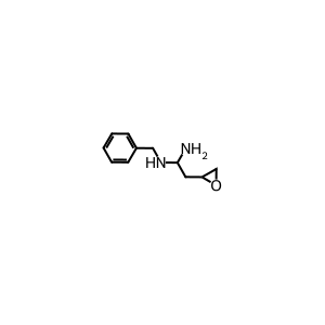 NC(CC1CO1)NCc1ccccc1